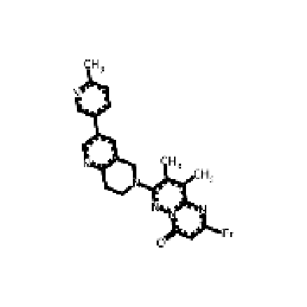 Cc1ccc(-c2cnc3c(c2)CN(c2nn4c(=O)cc(C(C)C)nc4c(C)c2C)CC3)cn1